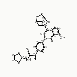 CCn1ncc2c(N3CC4CCC(C3)O4)nc(-c3ccc(NC(=O)NC4CCCC4)cc3)nc21